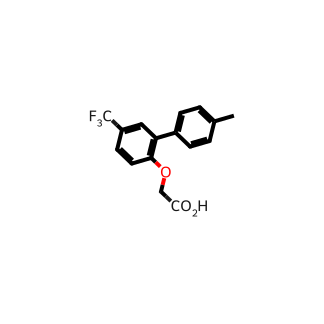 Cc1ccc(-c2cc(C(F)(F)F)ccc2OCC(=O)O)cc1